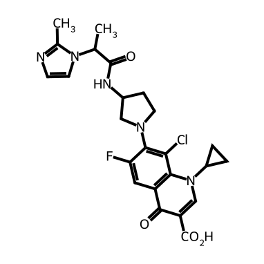 Cc1nccn1C(C)C(=O)NC1CCN(c2c(F)cc3c(=O)c(C(=O)O)cn(C4CC4)c3c2Cl)C1